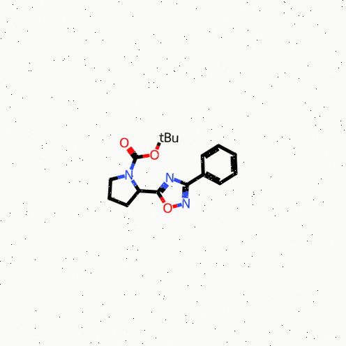 CC(C)(C)OC(=O)N1CCCC1c1nc(-c2ccccc2)no1